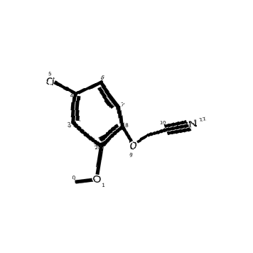 COc1cc(Cl)ccc1OC#N